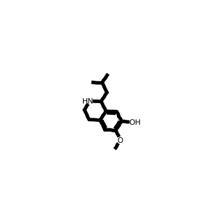 COc1cc2c(cc1O)C(CC(C)C)NCC2